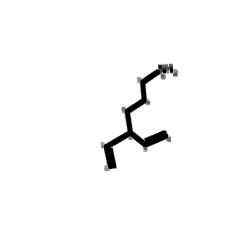 C=CC(C=C)CC[CH]N